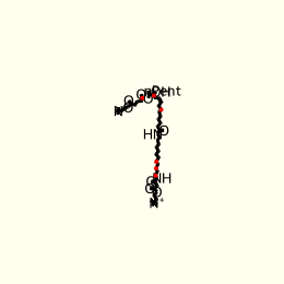 CCCCCC(OC(=O)CCCC(=O)OCC[N+](C)(C)C)C(O)C/C=C\CCCCCCCC(=O)NCCCCCCCCCCCCNC(=O)CC(=O)OCC[N+](C)(C)C